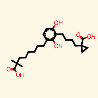 CC(C)(CCCCCCc1ccc(O)c(CCCCC2(C(=O)O)CC2)c1O)C(=O)O